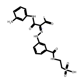 Nc1cccc(NC(=O)/C(=N\Nc2cccc(C(=O)NCCS(=O)(=O)O)c2)C(=O)I)c1